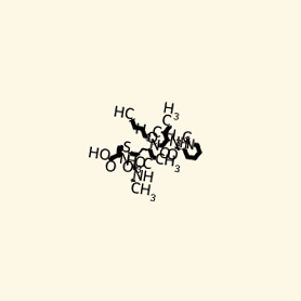 C#CCCCON(C(=O)[C@@H](NC(=O)[C@H]1CCCCN1C)[C@@H](C)CC)[C@H](C[C@@H](OC(=O)NCC)c1nc(C(=O)O)cs1)C(C)C